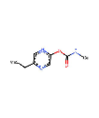 CSCc1cnc(OC(=O)NC(C)(C)C)cn1